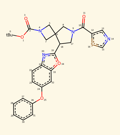 CC(C)(C)OC(=O)N1CC2(C1)CN(C(=O)c1cncs1)CC2c1nc2ccc(Oc3ccccc3)cc2o1